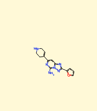 Nc1nc(C2=CCNCC2)cc2nc(-c3ccco3)nn12